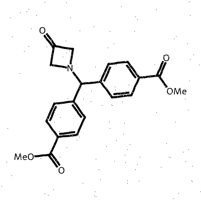 COC(=O)c1ccc(C(c2ccc(C(=O)OC)cc2)N2CC(=O)C2)cc1